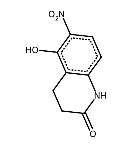 O=C1CCc2c(ccc([N+](=O)[O-])c2O)N1